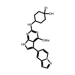 CCC1(O)CCC(Nc2nc(OC)c3c(-c4ccn5nccc5c4)c[nH]c3n2)CC1